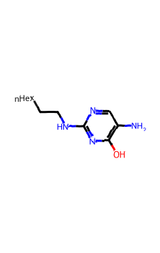 CCCCCCCCNc1ncc(N)c(O)n1